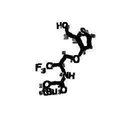 CC(C)(C)OC(=O)NC(COc1ccsc1CO)C(F)(F)F